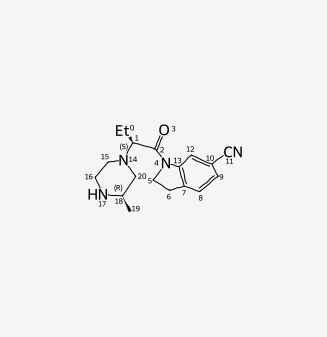 CC[C@@H](C(=O)N1CCc2ccc(C#N)cc21)N1CCN[C@H](C)C1